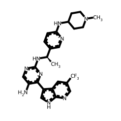 C[C@@H](Nc1ncc(N)c(-c2c[nH]c3ncc(C(F)(F)F)cc23)n1)c1ccc(NC2CCN(C)CC2)nc1